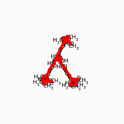 CC(=O)N[C@H]1C(OCCOCCOCCOCC(=O)NCCCCC(NC(=O)C(CCCCNC(=O)COCCOCCOCCOC2O[C@H](COC(C)=O)C(OC(C)=O)[C@H](OC(C)=O)[C@H]2NC(C)=O)NC(=O)COCCOCCOCCOC2O[C@H](COC(C)=O)C(OC(C)=O)[C@@H]3OC(=O)[C@]23NC(C)=O)C(=O)O)O[C@H](COC(C)=O)C(OC(C)=O)[C@@H]1OC(C)=O